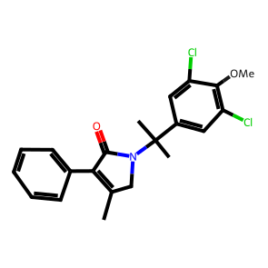 COc1c(Cl)cc(C(C)(C)N2CC(C)=C(c3ccccc3)C2=O)cc1Cl